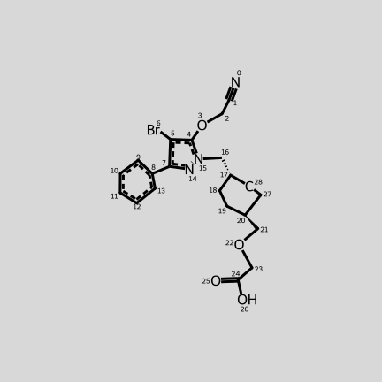 N#CCOc1c(Br)c(-c2ccccc2)nn1C[C@H]1CC[C@H](COCC(=O)O)CC1